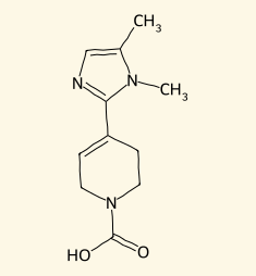 Cc1cnc(C2=CCN(C(=O)O)CC2)n1C